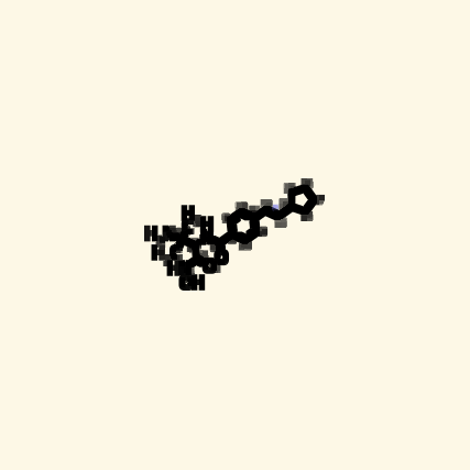 CC(C)(N)[C@H](NC(=O)c1ccc(/C=C/C2CCCC2)cc1)C(=O)NO